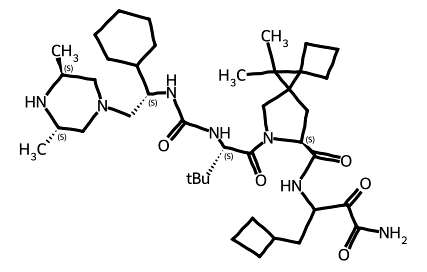 C[C@H]1CN(C[C@@H](NC(=O)N[C@H](C(=O)N2CC3(C[C@H]2C(=O)NC(CC2CCC2)C(=O)C(N)=O)C(C)(C)C32CCC2)C(C)(C)C)C2CCCCC2)C[C@H](C)N1